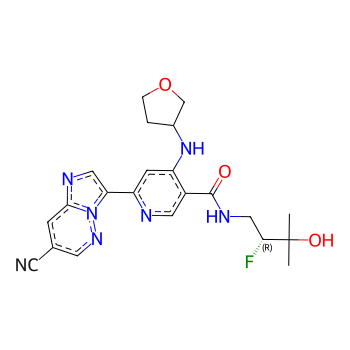 CC(C)(O)[C@H](F)CNC(=O)c1cnc(-c2cnc3cc(C#N)cnn23)cc1NC1CCOC1